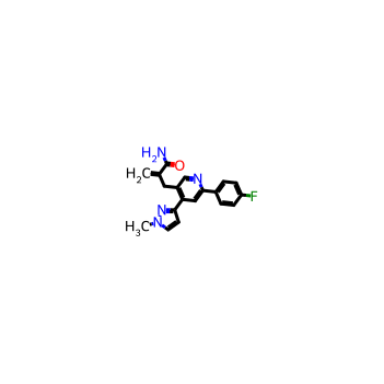 C=C(Cc1cnc(-c2ccc(F)cc2)cc1-c1ccn(C)n1)C(N)=O